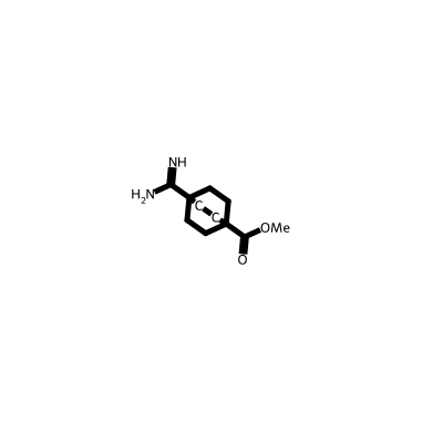 COC(=O)C12CCC(C(=N)N)(CC1)CC2